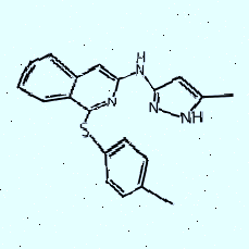 Cc1ccc(Sc2nc(Nc3cc(C)[nH]n3)cc3ccccc23)cc1